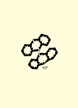 O.c1ccc2nc3ccccc3nc2c1.c1ccc2nc3ccccc3nc2c1